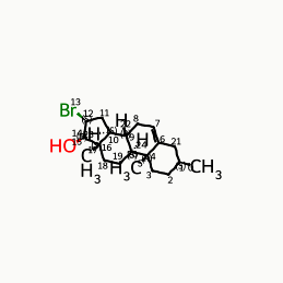 C[C@H]1CC[C@@]2(C)C(=CC[C@H]3[C@@H]4C[C@H](Br)[C@H](O)[C@@]4(C)CC[C@@H]32)C1